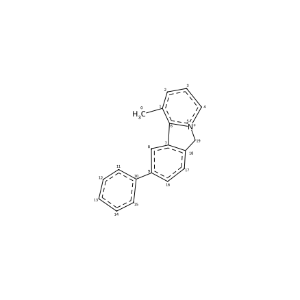 Cc1ccc[n+]2c1-c1cc(-c3ccccc3)ccc1C2